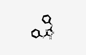 c1ccc(Sc2n[nH]c(Sc3ccccc3)n2)cc1